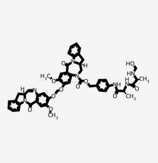 COc1cc2c(cc1OCOc1cc3c(cc1OC)C(=O)N1c4ccccc4C[C@H]1CN3C(=O)OCc1ccc(NC(=O)[C@H](C)NC(=O)[C@H](C)NCO)cc1)N=C[C@@H]1Cc3ccccc3N1C2=O